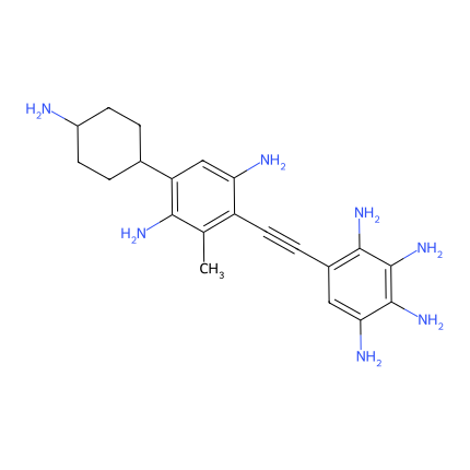 Cc1c(N)c(C2CCC(N)CC2)cc(N)c1C#Cc1cc(N)c(N)c(N)c1N